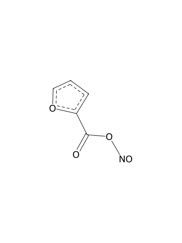 O=NOC(=O)c1ccco1